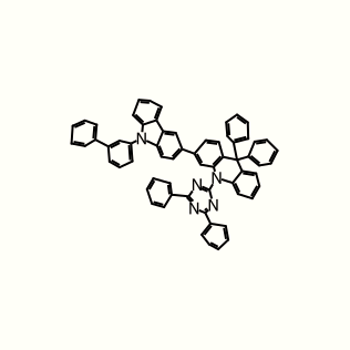 c1ccc(-c2cccc(-n3c4ccccc4c4cc(-c5ccc6c(c5)N(c5nc(-c7ccccc7)nc(-c7ccccc7)n5)c5ccccc5C6(c5ccccc5)c5ccccc5)ccc43)c2)cc1